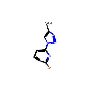 O=C(O)c1cn(-c2cccc(Br)n2)nn1